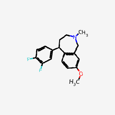 COc1ccc2c(c1)CN(C)CCC2c1ccc(F)c(F)c1